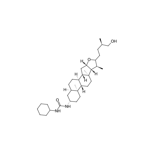 C[C@@H](CO)CCC1O[C@H]2C[C@H]3[C@@H]4CC[C@@H]5C[C@@H](NC(=O)NC6CCCCC6)CC[C@]5(C)[C@H]4CC[C@]3(C)[C@H]2[C@@H]1C